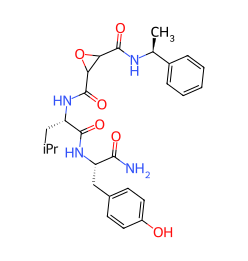 CC(C)C[C@H](NC(=O)C1OC1C(=O)N[C@@H](C)c1ccccc1)C(=O)N[C@@H](Cc1ccc(O)cc1)C(N)=O